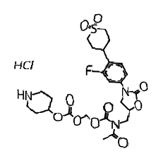 CC(=O)N(C[C@H]1CN(c2ccc(C3CCS(=O)(=O)CC3)c(F)c2)C(=O)O1)C(=O)OCOC(=O)OC1CCNCC1.Cl